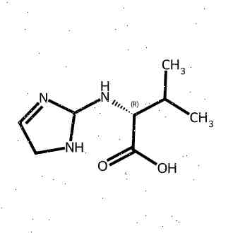 CC(C)[C@@H](NC1N=CCN1)C(=O)O